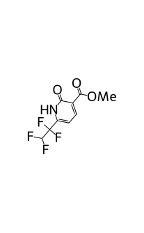 COC(=O)c1ccc(C(F)(F)C(F)F)[nH]c1=O